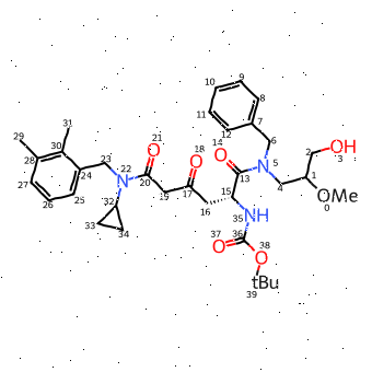 COC(CO)CN(Cc1ccccc1)C(=O)[C@@H](CC(=O)CC(=O)N(Cc1cccc(C)c1C)C1CC1)NC(=O)OC(C)(C)C